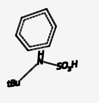 CC(C)(C)NS(=O)(=O)O.c1ccccc1